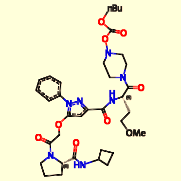 CCCCOC(=O)ON1CCN(C(=O)[C@H](CCOC)NC(=O)c2cc(OCC(=O)N3CCC[C@H]3C(=O)NC3CCC3)n(-c3ccccc3)n2)CC1